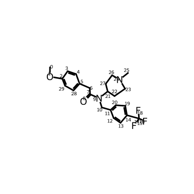 COc1ccc(CC(=O)N(Cc2ccc(C(F)(F)F)cc2)C2CCN(C)CC2)cc1